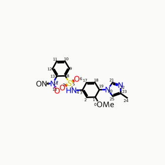 COC1C=C(NS(=O)(=O)c2ccccc2[N+](=O)N=O)C=CC1n1cnc(C)c1